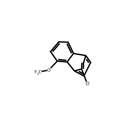 FC(F)(F)Oc1[c]ccc2c3ccc(c(Cl)c3)c12